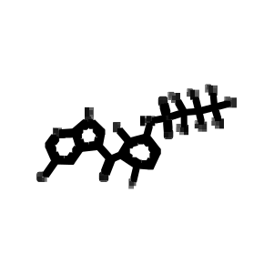 [2H]C([2H])([2H])C([2H])([2H])C([2H])([2H])S(=O)(=O)Nc1ccc(F)c(C(=O)c2c[nH]c3ncc(Cl)cc23)c1F